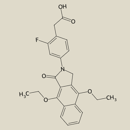 CCOc1c2c(c(OCC)c3ccccc13)C(=O)N(c1ccc(CC(=O)O)c(F)c1)C2